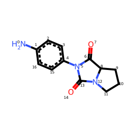 Nc1ccc(N2C(=O)C3CCCN3C2=O)cc1